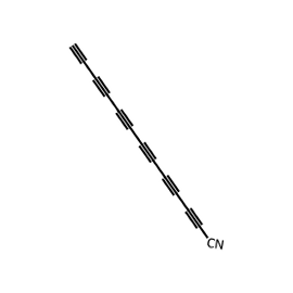 C#CC#CC#CC#CC#CC#CC#N